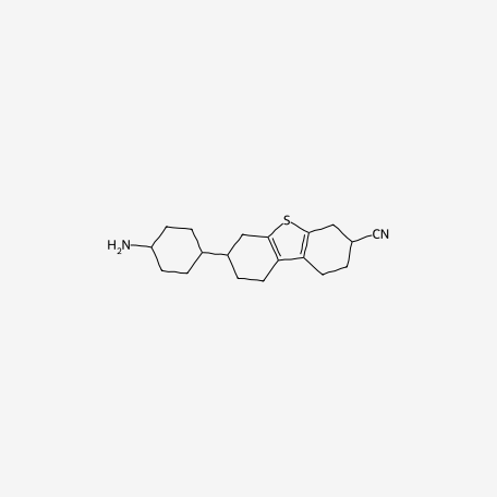 N#CC1CCc2c(sc3c2CCC(C2CCC(N)CC2)C3)C1